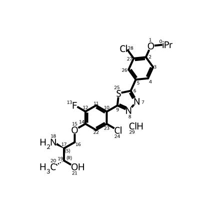 CC(C)Oc1ccc(-c2nnc(-c3cc(F)c(OC[C@H](N)[C@@H](C)O)cc3Cl)s2)cc1Cl.Cl